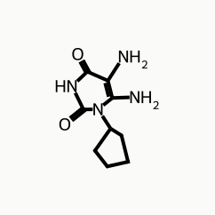 Nc1c(N)n(C2CCCC2)c(=O)[nH]c1=O